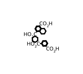 C1CCCCC1.O=C(O)c1ccc(C(=O)O)c2c1CCCC2.O=C(O)c1cccc(C(=O)O)c1